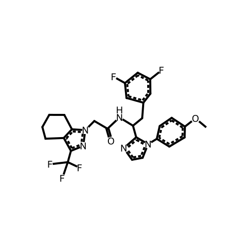 COc1ccc(-n2ccnc2C(Cc2cc(F)cc(F)c2)NC(=O)Cn2nc(C(F)(F)F)c3c2CCCC3)cc1